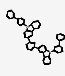 C1=CC2c3cc(-c4cccc(-c5ccc6c(c5)c5ccccc5n6-c5cccc(-c6ccccc6)c5)c4)ccc3N(c3ccc(-c4ccccc4)cc3)C2C=C1